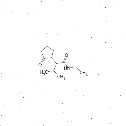 CCNC(=O)C(C(C)C)C1CCCC1=O